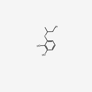 CC(C)CC(C)Sc1cccc(O)c1O